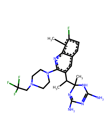 Cc1c(F)ccc2cc(C(C)C3(C)N=C(N)N=C(N)N3)c(N3CCN(CC(F)(F)F)CC3)nc12